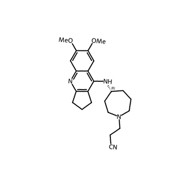 COc1cc2nc3c(c(N[C@@H]4CCCN(CCC#N)CC4)c2cc1OC)CCC3